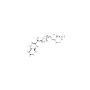 CC(CC1CCCNC1=O)NC(=O)CNC(=O)c1ccc2ccccc2n1